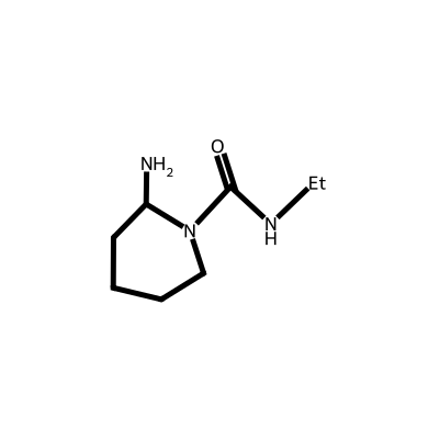 CCNC(=O)N1CCCCC1N